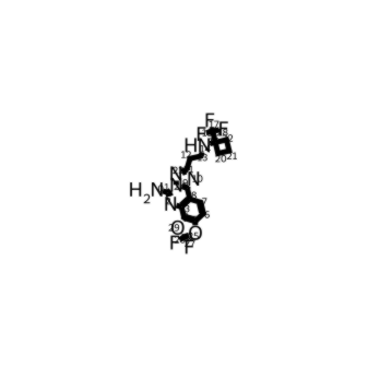 Nc1nc2c3c(ccc2c2nc(CCNC4(C(F)(F)F)CCC4)nn12)OC(F)(F)O3